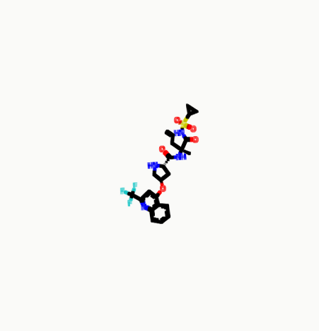 C=CC[C@@](C)(NC(=O)[C@@H]1C[C@@H](Oc2cc(C(F)(F)F)nc3ccccc23)CN1)C(=O)NS(=O)(=O)C1CC1